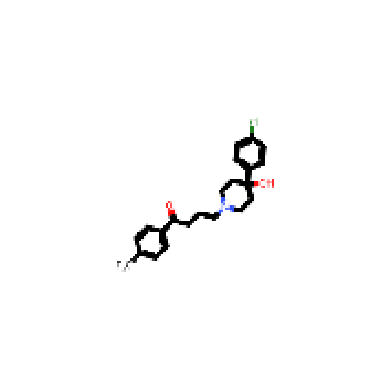 O=C(CCCN1CCC(O)(c2ccc(Cl)cc2)CC1)c1ccc(C(F)(F)F)cc1